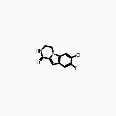 O=C1NCCn2c1cc1cc(F)c(Cl)cc12